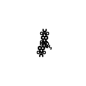 C=c1c2ccc3c4c(ccc(c(=O)n1N(C(N)=O)C(=O)c1ccc5c6c(cccc16)C(=O)N(C(CC)CC)C5=O)c42)C(=O)N(C(CC)CC)C3=O